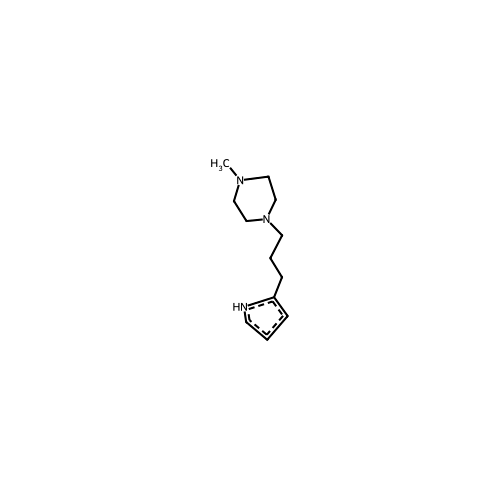 CN1CCN(CCCc2ccc[nH]2)CC1